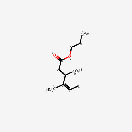 CC=C(C(=O)O)C(CC(=O)OCCOC)C(=O)O